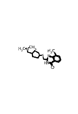 Cc1cccc2c(=O)[nH]c(CSC3CCC(CN(C)C)CC3)nc12